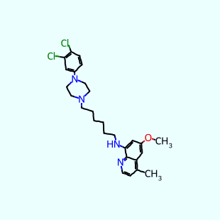 COc1cc(NCCCCCCN2CCN(c3ccc(Cl)c(Cl)c3)CC2)c2nccc(C)c2c1